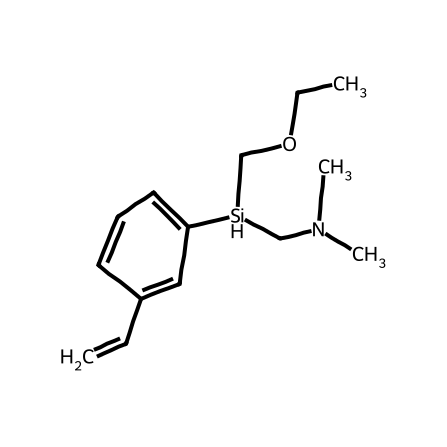 C=Cc1cccc([SiH](COCC)CN(C)C)c1